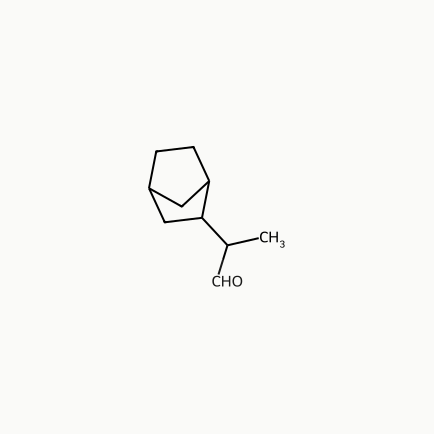 CC(C=O)C1CC2CCC1C2